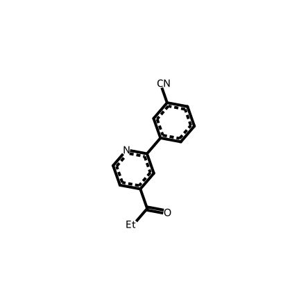 CCC(=O)c1ccnc(-c2cccc(C#N)c2)c1